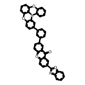 O=c1c2cc(-c3cccc(-c4ccc5c(c4)N4c6ccccc6Oc6cccc(c64)O5)c3)ccc2oc2ccc(-c3nc4ccccc4o3)cc12